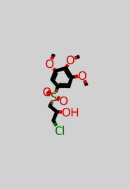 COc1cc(S(=O)(=O)CC(O)CCl)cc(OC)c1OC